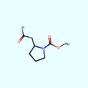 CC(C)C(=O)CC1CCCN1C(=O)OC(C)(C)C